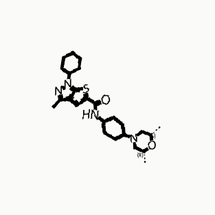 Cc1nn(C2CCCCC2)c2sc(C(=O)NC3CCC(N4C[C@@H](C)O[C@@H](C)C4)CC3)cc12